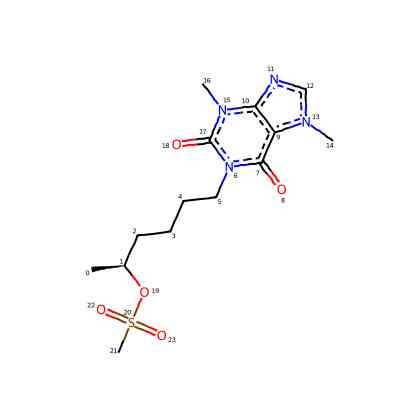 C[C@@H](CCCCn1c(=O)c2c(ncn2C)n(C)c1=O)OS(C)(=O)=O